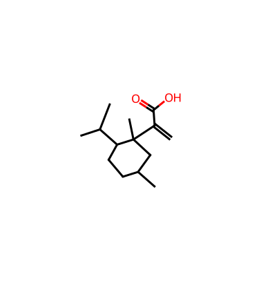 C=C(C(=O)O)C1(C)CC(C)CCC1C(C)C